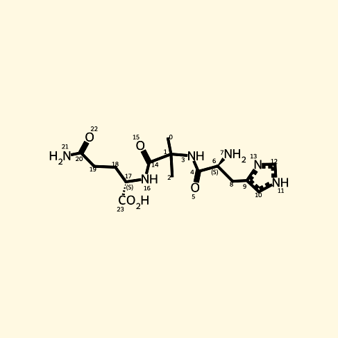 CC(C)(NC(=O)[C@@H](N)Cc1c[nH]cn1)C(=O)N[C@@H](CCC(N)=O)C(=O)O